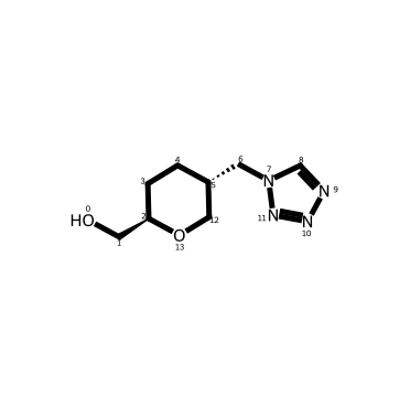 OC[C@H]1CC[C@H](Cn2cnnn2)CO1